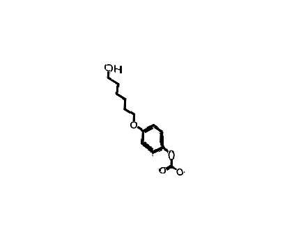 [O]C(=O)Oc1[c]cc(OCCCCCCO)cc1